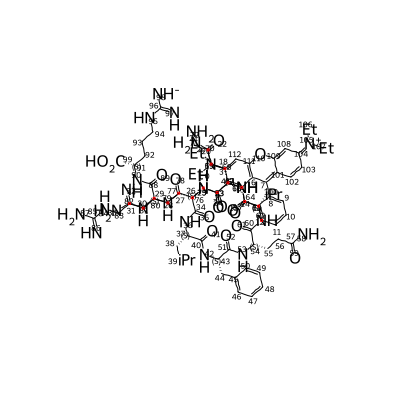 CCN(CC)c1ccc2c(-c3ccccc3C(=O)N[C@@H](CCC(N)=O)C(=O)N[C@@H](CCCNC(=N)N)C(=O)N[C@@H](CC(C)C)C(=O)N[C@@H](Cc3ccccc3)C(=O)N[C@@H](CCC(N)=O)C(=O)N[C@H](C(=O)N[C@@H](CCCCN)C(=O)NCC(=O)N[C@@H](CCCNC(=N)N)C(=O)N[C@@H](CCCNC(=N)[NH-])C(=O)O)C(C)C)c3ccc(=[N+](CC)CC)cc-3oc2c1